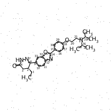 CC[C@H]1CC(=O)NN=C1c1ccc2nc(-c3ccc(OCCN(C(C)C)C(C)C)cc3)oc2c1